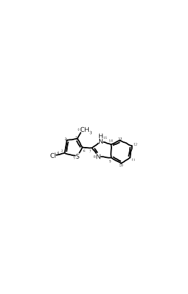 Cc1[c]c(Cl)sc1-c1nc2ccccc2[nH]1